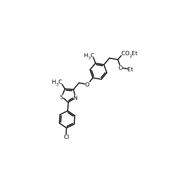 CCOC(=O)C(Cc1ccc(OCc2nc(-c3ccc(Cl)cc3)sc2C)cc1C)OCC